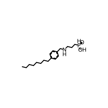 CCCCCCCCc1ccc(CNCCC[PH](=O)O)cc1